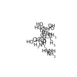 CC(C)C[C@H](NC(=O)[C@H](Cc1ccc(O)cc1)NC(=O)[C@@H](N)CCCNC(=N)N)C(=O)N[C@@H](CCC(=O)O)C(=O)N[C@@H](CO)C(=O)O